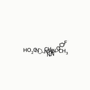 CC(CNc1cc(N(C)CC2CCN(C(=O)O)CC2)ncn1)Oc1ccc(F)cc1